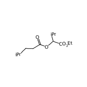 CCOC(=O)C(OC(=O)CCC(C)C)C(C)C